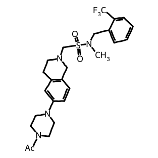 CC(=O)N1CCN(c2ccc3c(c2)CCN(CS(=O)(=O)N(C)Cc2ccccc2C(F)(F)F)C3)CC1